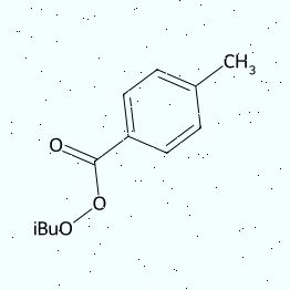 Cc1ccc(C(=O)OO[CH]C(C)C)cc1